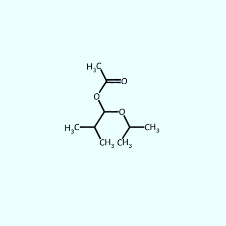 CC(=O)OC(OC(C)C)C(C)C